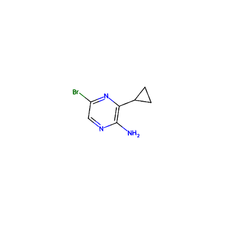 Nc1ncc(Br)nc1C1CC1